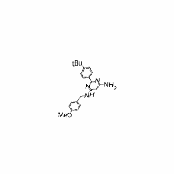 COc1ccc(CNc2cc(N)nc(-c3ccc(C(C)(C)C)cc3)n2)cc1